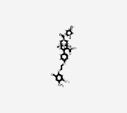 Cc1cc(Cl)c(OCCOc2ccc(C3=C(C(=O)O)[C@@H]4CN(C(=O)[C@@H]5C[C@@H](O)CN5)C[C@H](C3)N4)cc2)cc1C